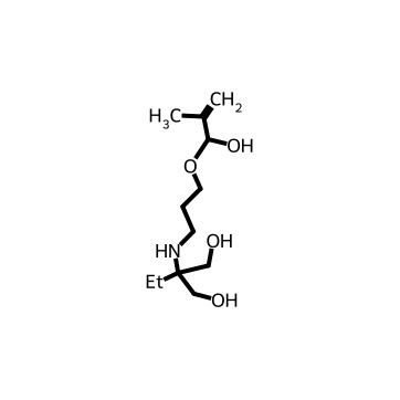 C=C(C)C(O)OCCCNC(CC)(CO)CO